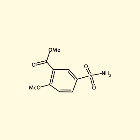 COC(=O)c1cc(S(N)(=O)=O)ccc1OC